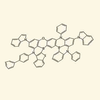 c1ccc(-c2ccc(N3c4cc(-n5ccc6ccccc65)cc5c4B(c4cc6c(cc4O5)N(c4ccccc4)c4cc(-n5ccc7ccccc75)cc5c4B6c4ccccc4N5c4ccccc4)c4sc5ccccc5c43)cc2)cc1